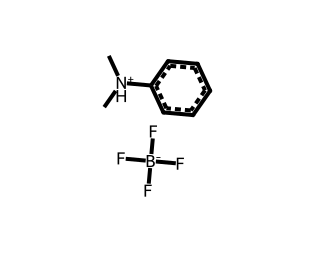 C[NH+](C)c1ccccc1.F[B-](F)(F)F